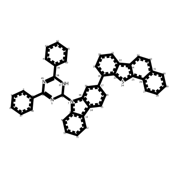 c1ccc(C2=NC(n3c4ccccc4c4ccc(-c5cccc6c5sc5c7ccccc7ccc65)cc43)NC(c3ccccc3)=N2)cc1